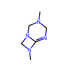 CN1CN=C2N(C)CN2C1